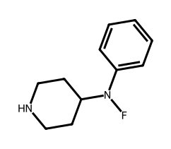 FN(c1ccccc1)C1CCNCC1